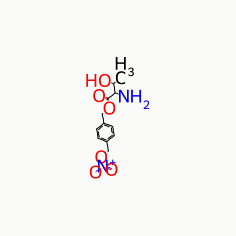 CC(O)C(N)C(=O)OCc1ccc(CO[N+](=O)[O-])cc1